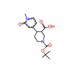 Cn1ccc(C2CCN(C(=O)OC(C)(C)C)CC2C(=O)O)cc1=O